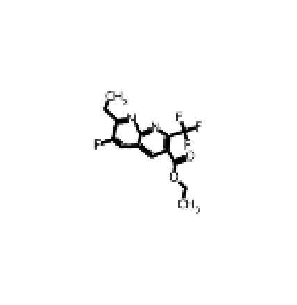 CCOC(=O)c1cc2cc(F)c(CC)nc2nc1C(F)(F)F